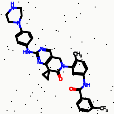 Cc1ccc(NC(=O)c2cccc(C(F)(F)F)c2)cc1N1Cc2cnc(Nc3ccc(N4CCNCC4)cc3)nc2C2(CC2)C1=O